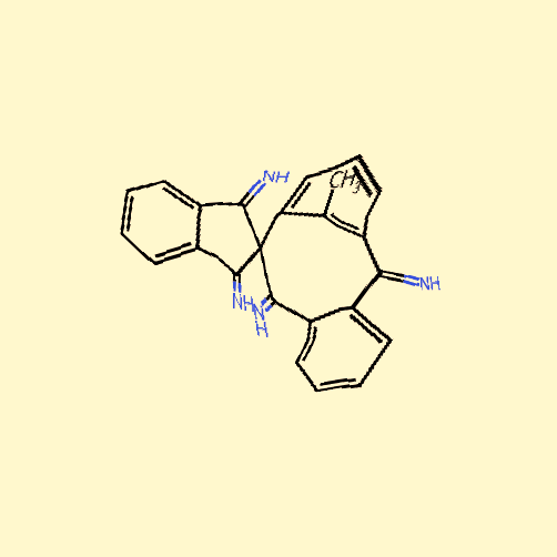 Cc1c2cccc1C1(C(=N)c3ccccc3C2=N)C(=N)c2ccccc2C1=N